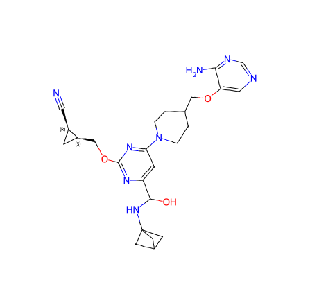 N#C[C@@H]1C[C@@H]1COc1nc(C(O)NC23CC(C2)C3)cc(N2CCC(COc3cncnc3N)CC2)n1